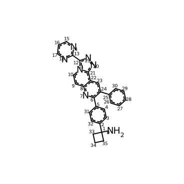 NC1(c2ccc(-c3nc4ccn5c(-c6ncccn6)nnc5c4cc3-c3ccccc3)cc2)CCC1